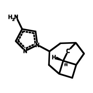 Nc1cnn(C2CC3CC4CC(C2)[C@@H]4C3)c1